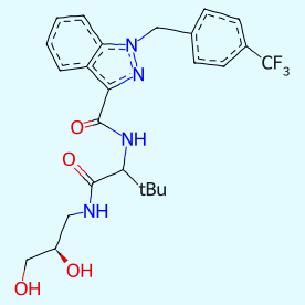 CC(C)(C)C(NC(=O)c1nn(Cc2ccc(C(F)(F)F)cc2)c2ccccc12)C(=O)NC[C@@H](O)CO